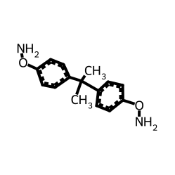 CC(C)(c1ccc(ON)cc1)c1ccc(ON)cc1